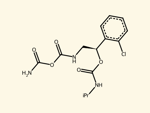 CC(C)NC(=O)O[C@@H](CNC(=O)OC(N)=O)c1ccccc1Cl